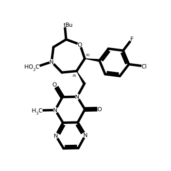 Cn1c(=O)n(C[C@H]2CN(C(=O)O)CC(C(C)(C)C)O[C@H]2c2ccc(Cl)c(F)c2)c(=O)c2nccnc21